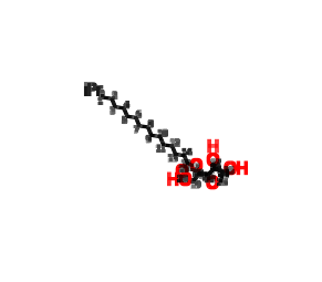 CC(C)CCCCCCCCCCCCCCC(=O)O[C@H](CO)[C@H]1OC[C@H](O)[C@H]1O